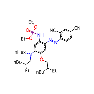 CCCCCCN(CC(CC)CCCC)c1cc(NP(=O)(OCC)OCC)c(/N=N/c2ccc(C#N)cc2C#N)cc1OCC(CC)CCCC